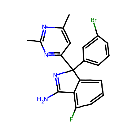 Cc1cc(C2(c3cccc(Br)c3)N=C(N)c3c(F)cccc32)nc(C)n1